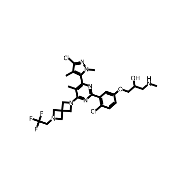 CNCC(O)COc1ccc(Cl)c(-c2nc(-c3c(C)c(Cl)nn3C)c(C)c(N3CC4(CN(CC(F)(F)F)C4)C3)n2)c1